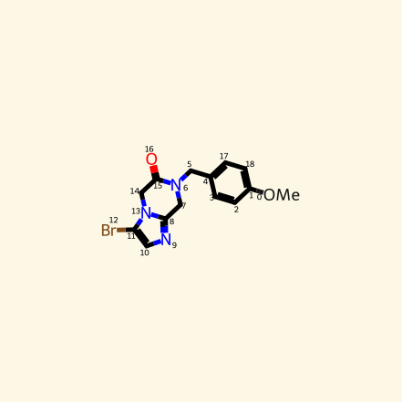 COc1ccc(CN2Cc3ncc(Br)n3CC2=O)cc1